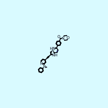 CN(c1ccccc1)c1cc(C#Cc2cnc(/C=C\C(=N)c3ccc(C(=O)N4CCOCC4)cc3)[nH]2)ccn1